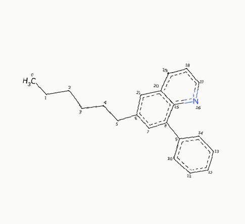 CCCCCCc1cc(-c2ccccc2)c2ncccc2c1